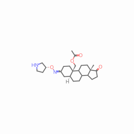 CC(=O)OC[C@]12CCC(=NO[C@@H]3CCNC3)C[C@@H]1CCC1C2CC[C@]2(C)C(=O)CCC12